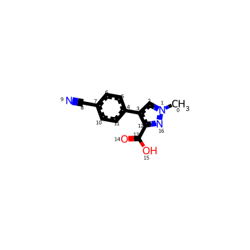 Cn1cc(-c2ccc(C#N)cc2)c(C(=O)O)n1